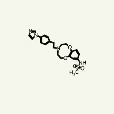 CS(=O)(=O)Nc1ccc2c(c1)OCCN(CCc1ccc(-n3ccnc3)cc1)CCO2